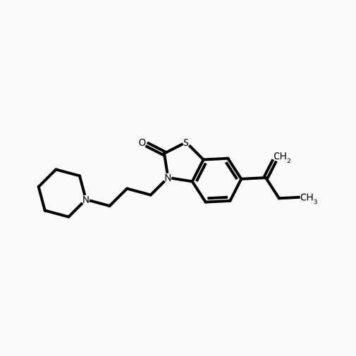 C=C(CC)c1ccc2c(c1)sc(=O)n2CCCN1CCCCC1